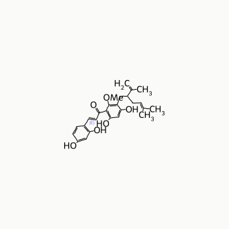 C=C(C)C(CC=C(C)C)Cc1c(O)cc(O)c(C(=O)/C=C/c2ccc(O)cc2O)c1OC